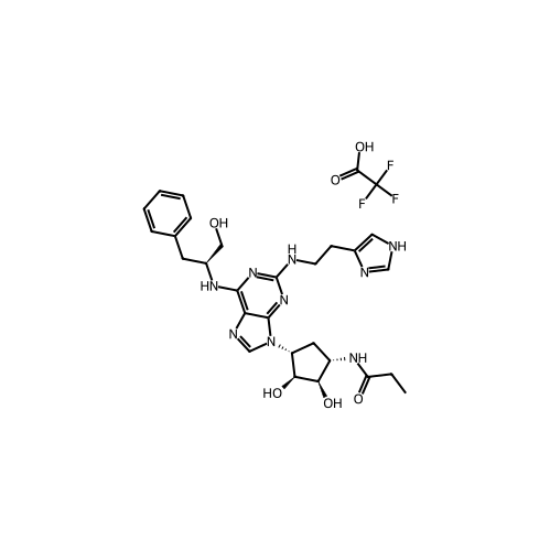 CCC(=O)N[C@H]1C[C@@H](n2cnc3c(N[C@H](CO)Cc4ccccc4)nc(NCCc4c[nH]cn4)nc32)[C@H](O)[C@@H]1O.O=C(O)C(F)(F)F